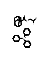 O=C(OCC(F)F)C12CC3CC(CC(C3)C1)C2.c1ccc([S+](c2ccccc2)c2ccccc2)cc1